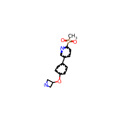 CS(=O)(=O)c1ccc(-c2ccc(OC3C[N]C3)cc2)cn1